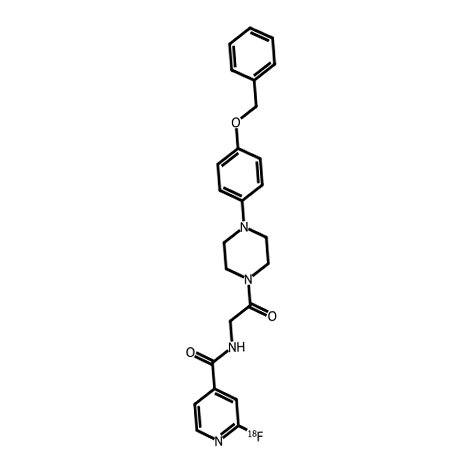 O=C(NCC(=O)N1CCN(c2ccc(OCc3ccccc3)cc2)CC1)c1ccnc([18F])c1